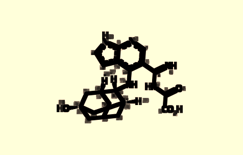 N=C(NC(=O)C(=O)O)c1cnc2[nH]ccc2c1N[C@H]1[C@@H]2CC3C[C@H]1C[C@@](O)(C3)C2